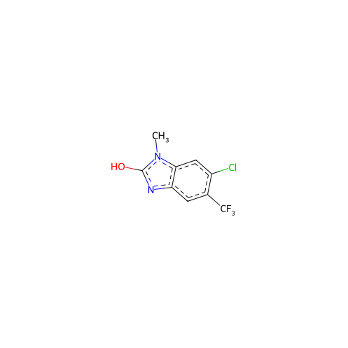 Cn1c(O)nc2cc(C(F)(F)F)c(Cl)cc21